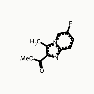 COC(=O)c1nc2ccc(F)cn2c1C